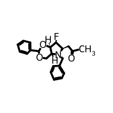 CC(=O)C[C@@H]1[C@H](F)[C@@H]2OC(c3ccccc3)OC[C@H]2N1Cc1ccccc1